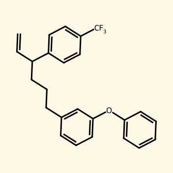 C=CC(CCCc1cccc(Oc2ccccc2)c1)c1ccc(C(F)(F)F)cc1